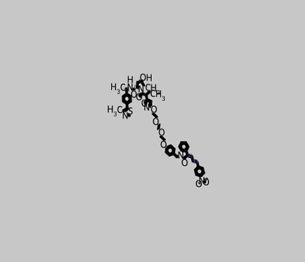 Cc1ncsc1-c1ccc([C@H](C)NC(=O)[C@@H]2C[C@@H](O)CN2C(=O)C(c2cc(OCCOCCOCCOc3ccc(CN4C(=O)/C(=C\C=C\c5ccc([N+](=O)[O-])cc5)c5ccccc54)cc3)no2)C(C)C)cc1